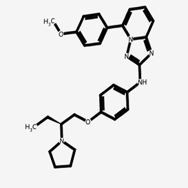 CC[C@@H](COc1ccc(Nc2nc3cccc(-c4ccc(OC)cc4)n3n2)cc1)N1CCCC1